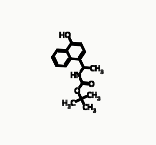 CC(NC(=O)OC(C)(C)C)c1ccc(O)c2ccccc12